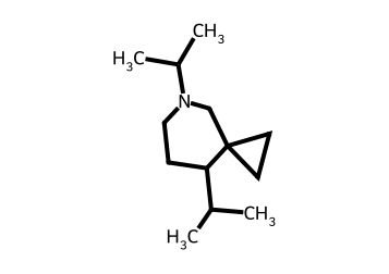 CC(C)C1CCN(C(C)C)CC12CC2